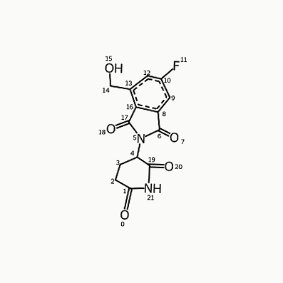 O=C1CCC(N2C(=O)c3cc(F)cc(CO)c3C2=O)C(=O)N1